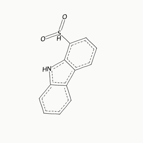 O=[SH](=O)c1cccc2c1[nH]c1ccccc12